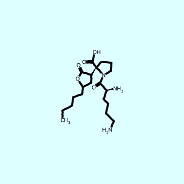 CCCCCC1CC([C@@]2(C(=O)O)CCCN2C(=O)[C@@H](N)CCCCN)C(=O)O1